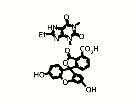 CCc1nc2c([nH]1)c(=O)n(C)c(=O)n2C.O=C(O)c1cccc2c1C(=O)OC21c2ccc(O)cc2Oc2cc(O)ccc21